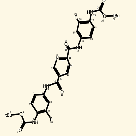 CC(C)(C)OC(=O)Nc1ccc(NC(=O)c2ccc(C(=O)Nc3ccc(NC(=O)OC(C)(C)C)c(F)c3)nc2)cc1F